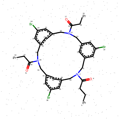 CC(C)CCC(=O)N1Cc2cc(Br)cc(c2)CN(C(=O)CC(C)C)Cc2cc(Br)cc(c2)CN(C(=O)CC(C)C)Cc2cc(Br)cc(c2)C1